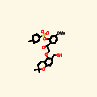 COc1ccc(C(=O)COc2c(CO)ccc3c2C=CC(C)(C)O3)c(OS(=O)(=O)c2ccc(C)cc2)c1